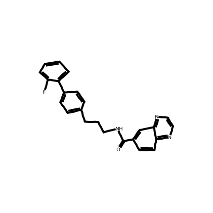 O=C(NCCCc1ccc(-c2ccccc2F)cc1)c1ccc2nccnc2c1